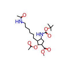 COC(=O)C1CC(NC(=O)OC(C)(C)C)C(CCCCCCNC(C)=O)C1OC(C)=O